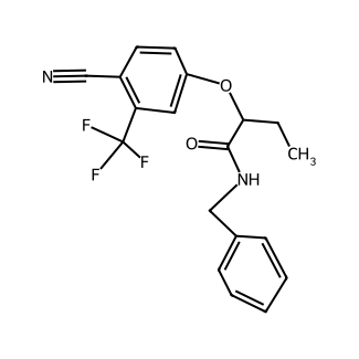 CCC(Oc1ccc(C#N)c(C(F)(F)F)c1)C(=O)NCc1ccccc1